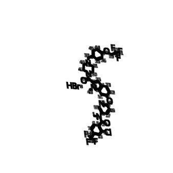 Br.CN(C(=O)c1ccc(C(F)(F)F)cc1Cl)c1ccc(Oc2ccc3cc(C(=O)N4CCN(Cc5ccc(OCC(F)(F)F)cc5)CC4)n(C)c3c2)nc1